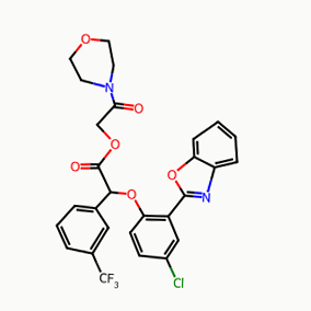 O=C(OCC(=O)N1CCOCC1)C(Oc1ccc(Cl)cc1-c1nc2ccccc2o1)c1cccc(C(F)(F)F)c1